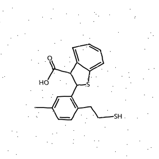 Cc1ccc(CCS)c(C2Sc3ccccc3C2C(=O)O)c1